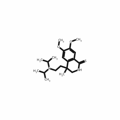 COc1cc2c(cc1OC)C(C)(CCN(C(C)C)C(C)C)CNC2=S